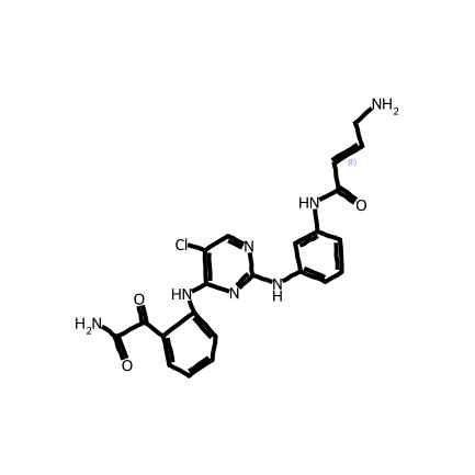 NC/C=C/C(=O)Nc1cccc(Nc2ncc(Cl)c(Nc3ccccc3C(=O)C(N)=O)n2)c1